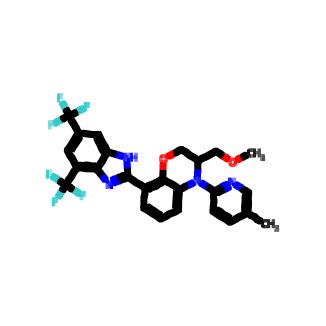 COCC1COc2c(-c3nc4c(C(F)(F)F)cc(C(F)(F)F)cc4[nH]3)cccc2N1c1ccc(C)cn1